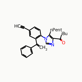 C#Cc1ccc(-n2cnc(C(=O)C(C)CC)c2CCCCC)c(C(=C)c2ccccc2)c1